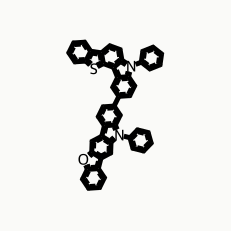 c1ccc(-n2c3cc(-c4ccc5c(c4)c4c6sc7ccccc7c6ccc4n5-c4ccccc4)ccc3c3cc4oc5ccccc5c4cc32)cc1